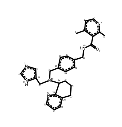 Cc1ccnc(C)c1C(=O)NCc1ccc(CN(Cc2cnc[nH]2)C2CCCc3cccnc32)cc1